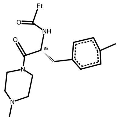 CCC(=O)N[C@H](Cc1ccc(C)cc1)C(=O)N1CCN(C)CC1